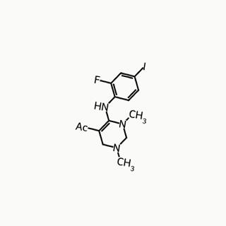 CC(=O)C1=C(Nc2ccc(I)cc2F)N(C)CN(C)C1